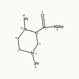 CNC(=O)C1CN(C(C)C)CCN1C(C)C